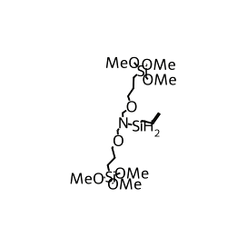 C=CC[SiH2]N(COCCC[Si](OC)(OC)OC)COCCC[Si](OC)(OC)OC